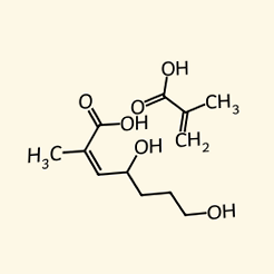 C=C(C)C(=O)O.CC(=CC(O)CCCO)C(=O)O